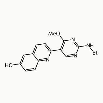 CCNc1ncc(-c2ccc3cc(O)ccc3n2)c(OC)n1